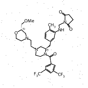 COC[C@@H]1CN(CCN2CCN(C(=O)c3cc(C(F)(F)F)cc(C(F)(F)F)c3)[C@H](Cc3ccc(C)c(NCN4C(=O)CCC4=O)c3)C2)CCO1